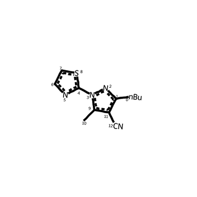 CCCCc1nn(-c2nccs2)c(C)c1C#N